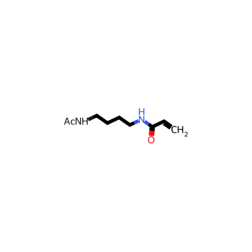 C=CC(=O)NCCCCNC(C)=O